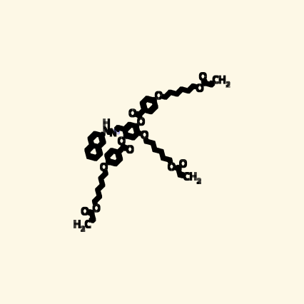 C=CC(=O)OCCCCCCOc1ccc(C(=O)Oc2cc(OCCCCCCOC(=O)C=C)c(OC(=O)c3ccc(OCCCCCCOC(=O)C=C)cc3)cc2/C=N/Nc2ccc3ccccc3c2)cc1